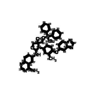 Cc1cc(N2C(Nc3ccc4ncnc(N)c4c3)OCC2(C)CO[Si](c2ccccc2)(c2ccccc2)C(C)(C)C)ccc1Oc1ccn2ncnc2c1